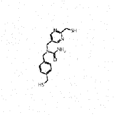 NC(=O)N(Cc1ccc(CS)cc1)Cc1cnc(CS)nc1